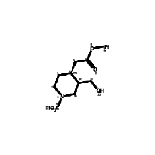 CCOC(=O)N1CC[C@@H](CC(=O)OC(C)C)C(CO)C1